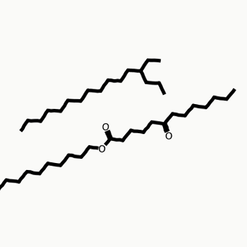 CCCCCCCCCCCCC(CC)CCC.CCCCCCCCCCOC(=O)CCCCC(=O)CCCCCCC